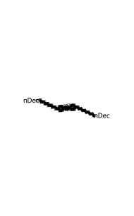 CCCCCCCCCCCCCCCCCCCCc1ccc(C(C)(C)C(C)(C)c2ccc(CCCCCCCCCCCCCCCCCCCC)cc2)cc1